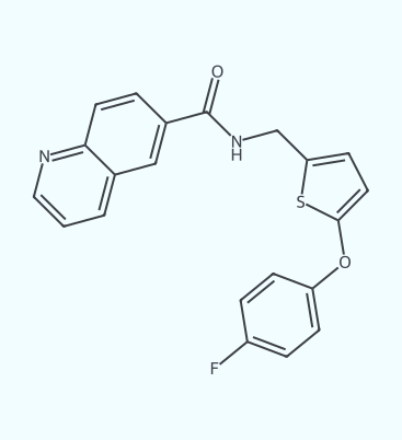 O=C(NCc1ccc(Oc2ccc(F)cc2)s1)c1ccc2ncccc2c1